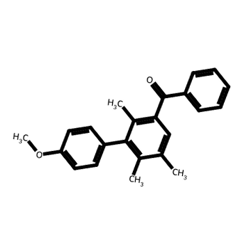 COc1ccc(-c2c(C)c(C)cc(C(=O)c3ccccc3)c2C)cc1